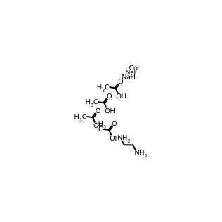 CC(=O)O.CC(=O)O.CC(=O)O.CC(=O)O.NCCN.[Co].[NaH].[NaH]